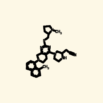 Cc1cccc2cccc(N3CCc4c(nc(SCC5CCCN5C)nc4N4CCNC(CC#N)C4)C3)c12